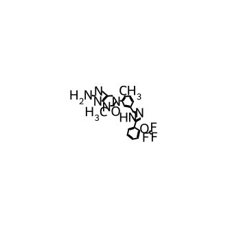 Cc1ccc(-c2ncc(-c3ccccc3OC(F)(F)F)[nH]2)cc1N1Cc2cnc(N)nc2N(C)C1=O